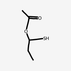 CCC(S)OC(C)=O